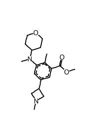 COC(=O)c1cc(C2CN(C)C2)cc(N(C)C2CCOCC2)c1C